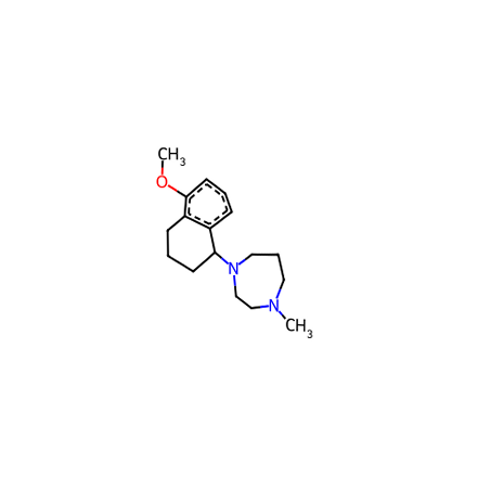 COc1cccc2c1CCCC2N1CCCN(C)CC1